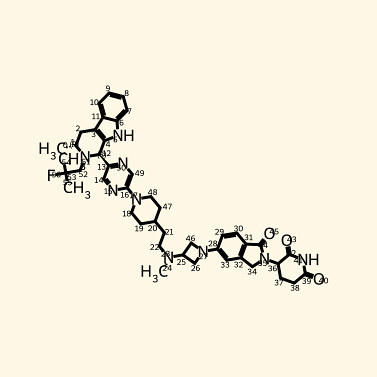 C[C@@H]1Cc2c([nH]c3ccccc23)[C@@H](c2cnc(N3CCC(CCN(C)C4CN(c5ccc6c(c5)CN(C5CCC(=O)NC5=O)C6=O)C4)CC3)cn2)N1CC(C)(C)F